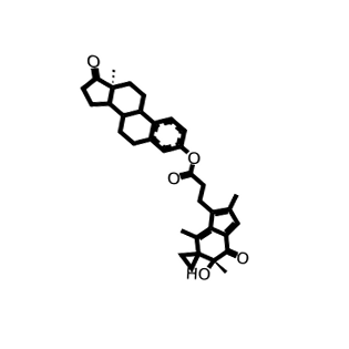 CC1=C(CCC(=O)Oc2ccc3c(c2)CCC2C3CC[C@]3(C)C(=O)CCC23)C2=C(C)C3(CC3)[C@@](C)(O)C(=O)C2=C1